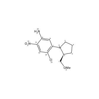 COC[C@@H]1CCCN1c1cc(N)c([N+](=O)[O-])cc1Cl